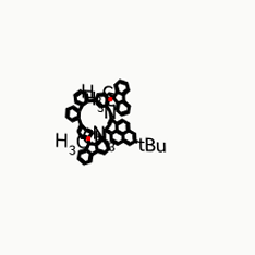 CC(C)(C)c1cc2ccc3c4cc(c5ccc(c1)c2c35)N(c1cccc2c1C(C)(C)c1ccccc1-2)c1cccc(c1)-c1ccccc1-c1ccccc1-c1cccc(c1)N4c1cccc2c1C(C)(C)c1ccccc1-2